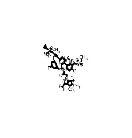 CCS(=O)(=O)Nc1nn(C)c2c(-c3ccc(C#CC(C)(C)S(=O)(=O)C4CC4)nc3[C@H](Cc3cc(F)cc(F)c3)NC(=O)Cn3nc(C(F)F)c4c3C(F)(F)[C@H](C)[C@@H]4C)ccc(Cl)c12